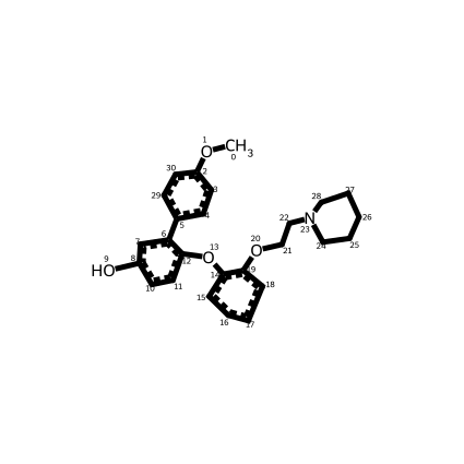 COc1ccc(-c2cc(O)ccc2Oc2ccccc2OCCN2CCCCC2)cc1